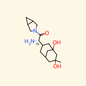 CC1(O)CC2CC([C@H](N)C(=O)N3CC4CC4C3)CC(O)(C2)C1